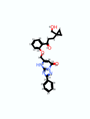 O=C(CCC1(CO)CC1)c1ccccc1OCc1cc(=O)n2nc(-c3ccccc3)nc2[nH]1